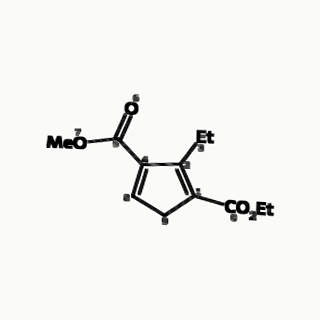 CCOC(=O)C1=C(CC)C(C(=O)OC)=CC1